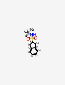 CC(C)(C)[Si](C)(C)NS(=O)(=O)C1Cc2ccccc2C1